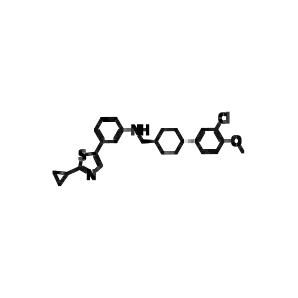 COc1ccc([C@H]2CC[C@H](CNc3cccc(-c4cnc(C5CC5)s4)c3)CC2)cc1Cl